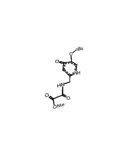 CCCCOc1c[nH]c(CNC(=O)C(=O)OC)cc1=O